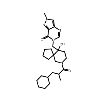 CC(CC1CCCCC1)C(=O)N1CCC(O)(Cn2cnc3cn(C)nc3c2=O)C2(CCCC2)C1